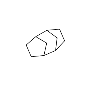 C1CC2CC1C1CCC2C1